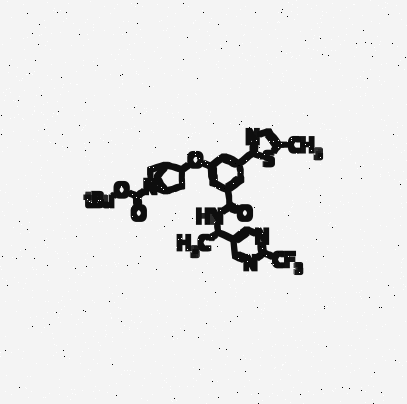 Cc1cnc(-c2cc(OC3CC4CC3CN4C(=O)OC(C)(C)C)cc(C(=O)N[C@H](C)c3cnc(C(F)(F)F)nc3)c2)s1